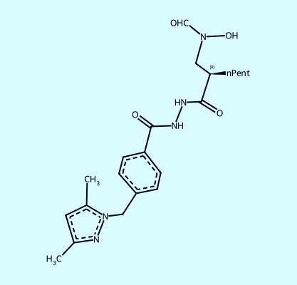 CCCCC[C@H](CN(O)C=O)C(=O)NNC(=O)c1ccc(Cn2nc(C)cc2C)cc1